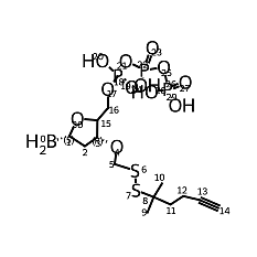 B[C@H]1C[C@@H](OCSSC(C)(C)CCC#C)C(COP(=O)(O)OP(=O)(O)OP(=O)(O)O)O1